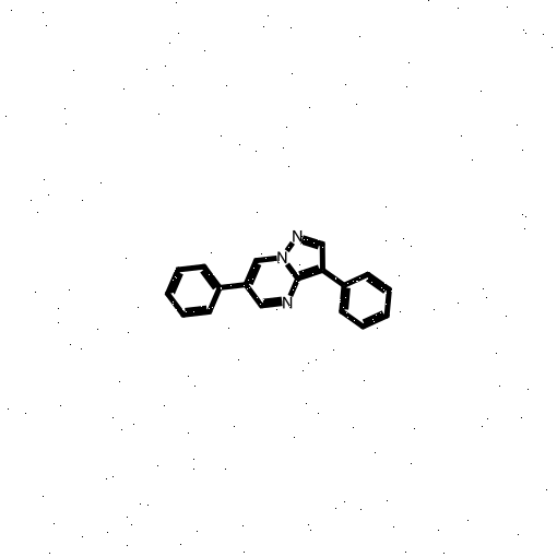 c1ccc(-c2cnc3c(-c4ccccc4)cnn3c2)cc1